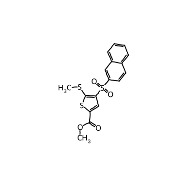 COC(=O)c1cc(S(=O)(=O)c2ccc3ccccc3c2)c(SC)s1